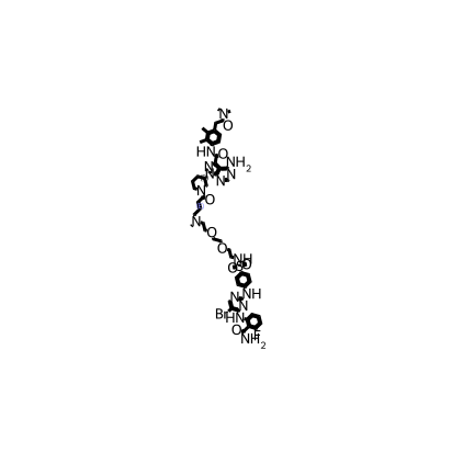 Cc1c(CC(=O)N(C)C)ccc(NC(=O)c2nn([C@@H]3CCCN(C(=O)/C=C/CN(C)CCOCCOCCNS(=O)(=O)c4ccc(Nc5ncc(Br)c(Nc6cccc(F)c6C(N)=O)n5)cc4)C3)c3ncnc(N)c23)c1C